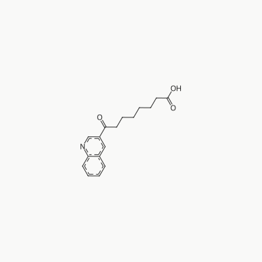 O=C(O)CCCCCCC(=O)c1cnc2ccccc2c1